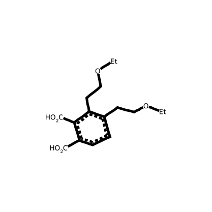 CCOCCc1ccc(C(=O)O)c(C(=O)O)c1CCOCC